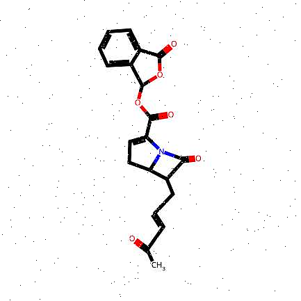 CC(=O)C=CCC1C(=O)N2C(C(=O)OC3OC(=O)c4ccccc43)=CCC12